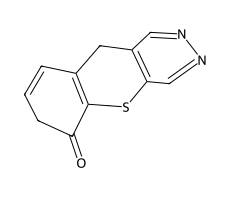 O=C1CC=CC2=C1Sc1cnncc1C2